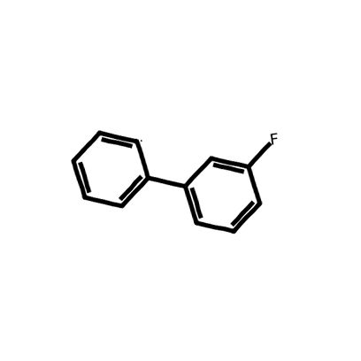 Fc1cccc(-c2[c]cccc2)c1